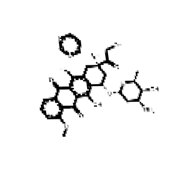 COc1cccc2c1C(=O)c1c(O)c3c(c(O)c1C2=O)C[C@@](O)(C(=O)CO)C[C@@H]3O[C@H]1C[C@H](N)[C@H](O)[C@H](C)O1.c1cncnc1